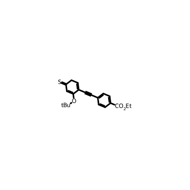 CCOC(=O)c1ccc(C#CC2=CCC(=S)C=C2OC(C)(C)C)cc1